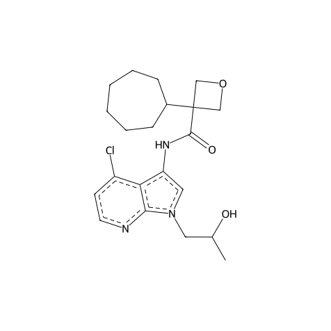 CC(O)Cn1cc(NC(=O)C2(C3CCCCCC3)COC2)c2c(Cl)ccnc21